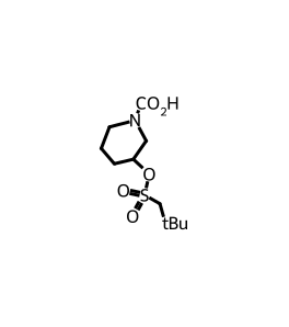 CC(C)(C)CS(=O)(=O)OC1CCCN(C(=O)O)C1